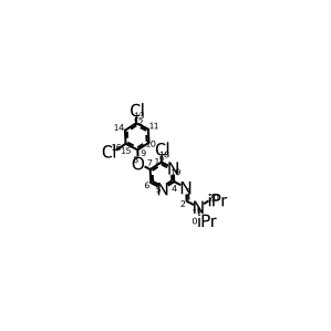 CC(C)N(C=Nc1ncc(Oc2ccc(Cl)cc2Cl)c(Cl)n1)C(C)C